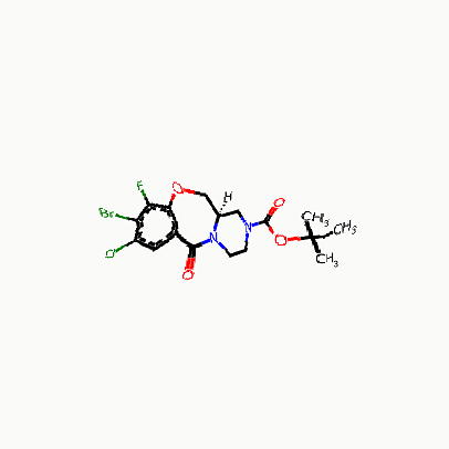 CC(C)(C)OC(=O)N1CCN2C(=O)c3cc(Cl)c(Br)c(F)c3OC[C@H]2C1